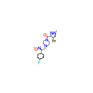 CON=C(CN1CCN(C(=O)c2nn(C)cc2Br)CC1)c1ccc(F)cc1